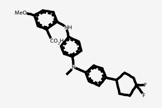 COc1ccc(Nc2ccc(N(C)c3ccc(C4CCC(F)(F)CC4)cc3)cc2)c(C(=O)O)c1